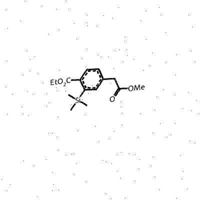 CCOC(=O)c1ccc(CC(=O)OC)cc1[Si](C)(C)C